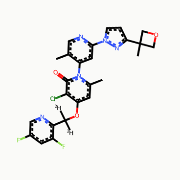 [2H]C([2H])(Oc1cc(C)n(-c2cc(-n3ccc(C4(C)COC4)n3)ncc2C)c(=O)c1Cl)c1ncc(F)cc1F